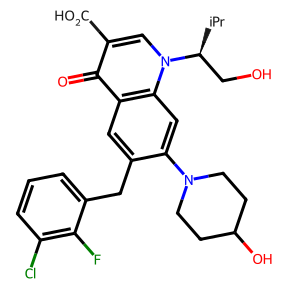 CC(C)[C@@H](CO)n1cc(C(=O)O)c(=O)c2cc(Cc3cccc(Cl)c3F)c(N3CCC(O)CC3)cc21